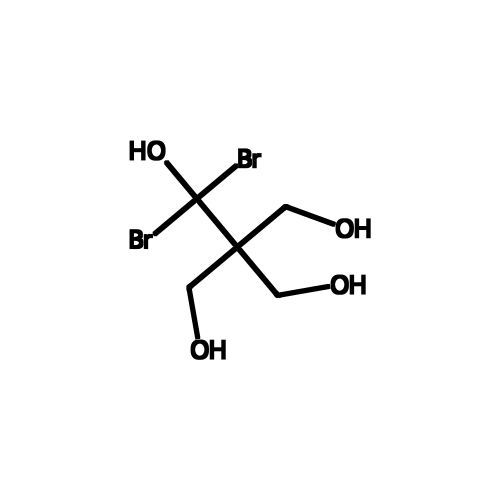 OCC(CO)(CO)C(O)(Br)Br